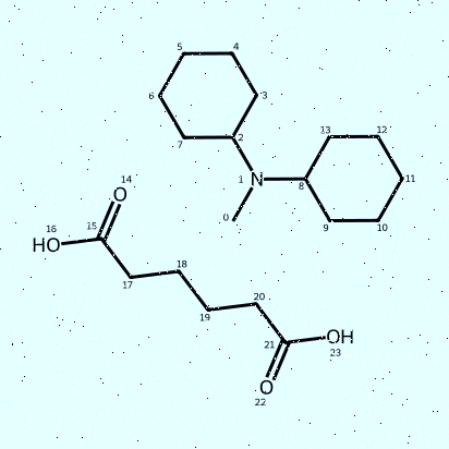 CN(C1CCCCC1)C1CCCCC1.O=C(O)CCCCC(=O)O